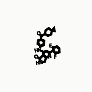 O=C1NCc2nc(-c3c(F)cccc3F)cc(Nc3ccc(C(=O)C4CCC5(CC4)CC5)cc3)c21